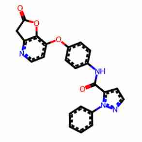 O=C1Cc2nccc(Oc3ccc(NC(=O)c4ccnn4-c4ccccc4)cc3)c2O1